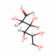 CC(=O)C(O)(C(=O)Br)C(O)(C(C)=O)C(O)(C(C)=O)C(O)CO